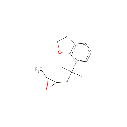 CC(C)(CC1OC1C(F)(F)F)c1cccc2c1OCC2